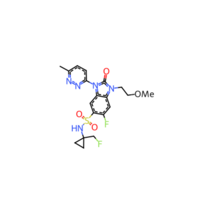 COCCn1c(=O)n(-c2ccc(C)nn2)c2cc(S(=O)(=O)NC3(CF)CC3)c(F)cc21